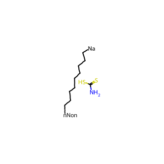 CCCCCCCCCCCCCCCCC[CH2][Na].NC(=S)S